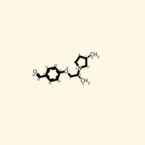 C[C@@H]1CCN([C@@H](C)COc2ccc(C=O)cc2)C1